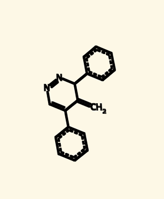 C=C1C(c2ccccc2)=CN=NC1c1ccccc1